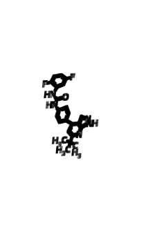 CC(C)(C)c1cc(-c2ccc(NC(=O)Nc3cc(F)ccc3F)cc2)c2cn[nH]c2n1